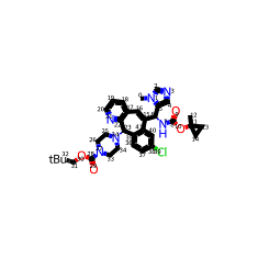 Cn1cncc1[C@H](NC(=O)OC1(C)CC1)C1=Cc2cccnc2[C@@H](N2CCN(C(=O)OCC(C)(C)C)CC2)c2ccc(Cl)cc21